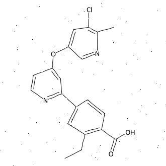 CCc1cc(-c2cc(Oc3cnc(C)c(Cl)c3)ccn2)ccc1C(=O)O